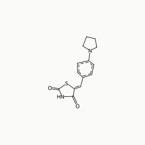 O=C1NC(=O)C(=Cc2ccc(N3CCCC3)cc2)S1